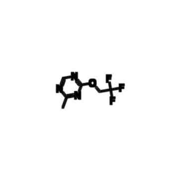 Cc1ncnc(OCC(F)(F)F)n1